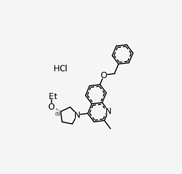 CCO[C@H]1CCN(c2cc(C)nc3cc(OCc4ccccc4)ccc23)C1.Cl